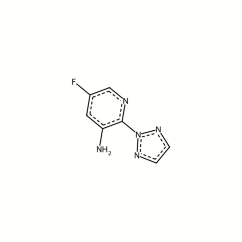 Nc1cc(F)cnc1-n1nccn1